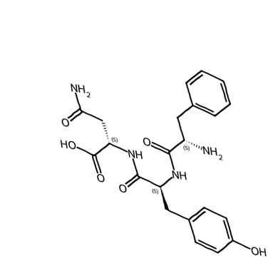 NC(=O)C[C@H](NC(=O)[C@H](Cc1ccc(O)cc1)NC(=O)[C@@H](N)Cc1ccccc1)C(=O)O